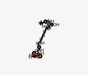 Cc1ncsc1-c1ccc([C@H](C)NC(=O)[C@@H]2C[C@@H](O)CN2C(=O)[C@@H](NC(=O)CCOCCOCCOCCNC(=O)c2ccc(NC(=O)[C@@H]3NC4(CCCCC4)[C@@]4(C(=O)Nc5cc(Cl)ccc54)[C@H]3c3cccc(Cl)c3F)cc2)C(C)(C)C)cc1